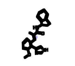 COc1cccc(/C=C(\C)C(=O)NC2CCc3ccccc32)c1-c1c[nH]cn1